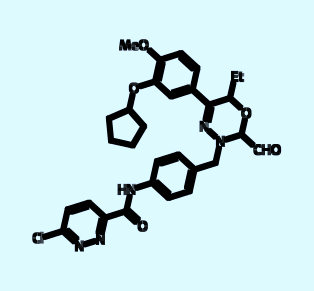 CCC1OC(C=O)N(Cc2ccc(NC(=O)c3ccc(Cl)nn3)cc2)N=C1c1ccc(OC)c(OC2CCCC2)c1